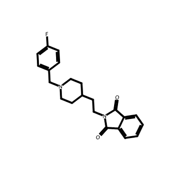 O=C1c2ccccc2C(=O)N1CCC1CCN(Cc2ccc(F)cc2)CC1